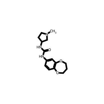 CN1CCC(NC(=O)Nc2ccc3c(c2)OCCCO3)C1